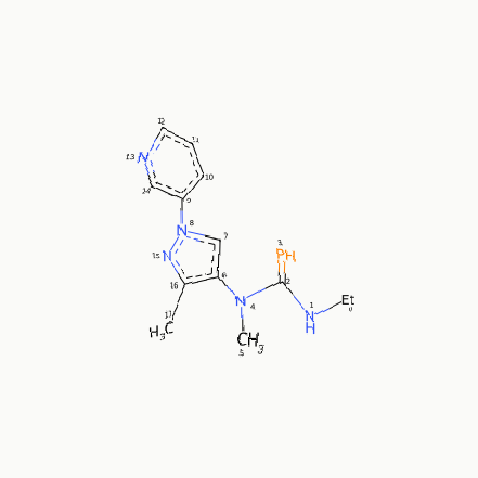 CCNC(=P)N(C)c1cn(-c2cccnc2)nc1C